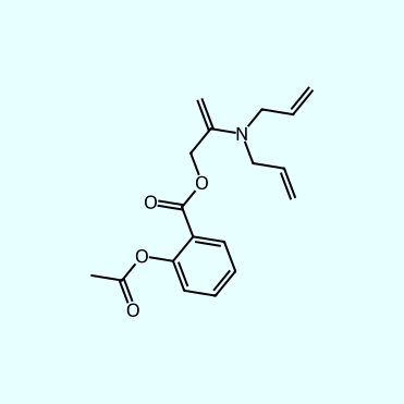 C=CCN(CC=C)C(=C)COC(=O)c1ccccc1OC(C)=O